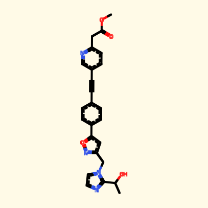 COC(=O)Cc1ccc(C#Cc2ccc(-c3cc(Cn4ccnc4C(C)O)no3)cc2)cn1